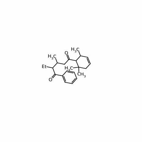 CCC(C(=O)c1ccccc1)C(C)CC(=O)C1C(C)C=CCC1(C)C